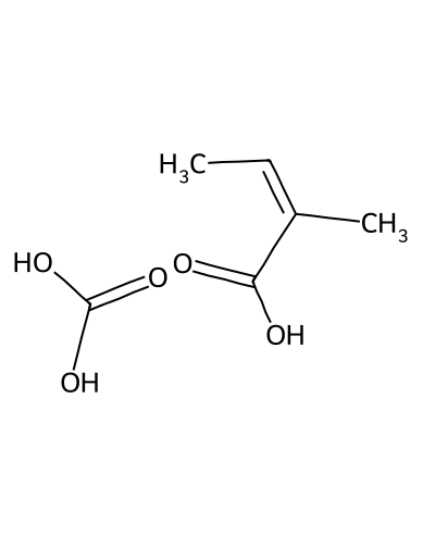 CC=C(C)C(=O)O.O=C(O)O